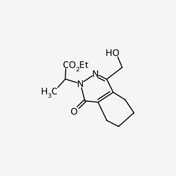 CCOC(=O)C(C)n1nc(CO)c2c(c1=O)CCCC2